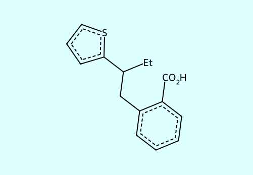 CCC(Cc1ccccc1C(=O)O)c1cccs1